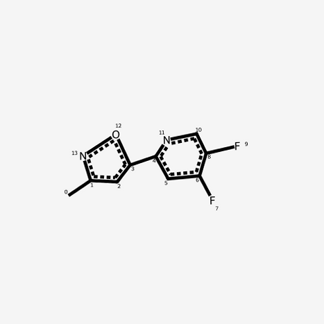 Cc1cc(-c2cc(F)c(F)cn2)on1